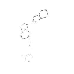 Clc1ccc2oc(-c3cnc4ccc(OCC[C@@H]5CCCN5)nn34)cc2c1